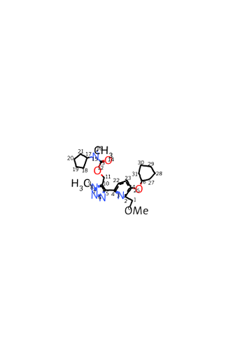 COCc1nc(-c2nnn(C)c2COC(=O)N(C)C2CCCC2)ccc1OC1CCCCC1